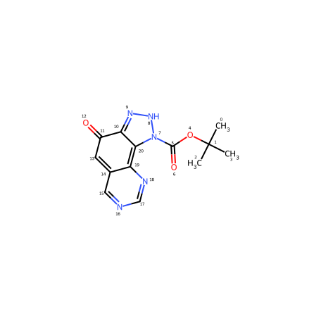 CC(C)(C)OC(=O)n1[nH]nc2c(=O)cc3cncnc3c1-2